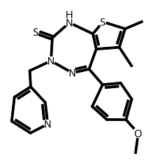 COc1ccc(C2=NN(Cc3cccnc3)C(=S)Nc3sc(C)c(C)c32)cc1